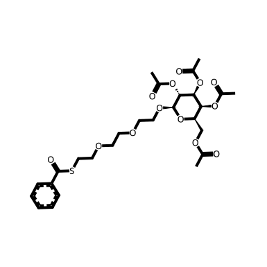 CC(=O)OC[C@H]1O[C@@H](OCCOCCOCCSC(=O)c2ccccc2)[C@H](OC(C)=O)[C@@H](OC(C)=O)[C@H]1OC(C)=O